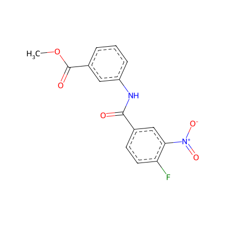 COC(=O)c1cccc(NC(=O)c2ccc(F)c([N+](=O)[O-])c2)c1